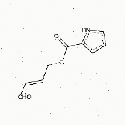 O=CC=CCOC(=O)c1ccc[nH]1